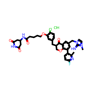 Cc1nc(F)ccc1-c1cc(Cn2ccn(C)c2=N)cc2c1OCC(Cc1ccc(Cl)c(OCCCCC(=O)NC3CC(=O)NC(=O)C3)c1)C2=O.Cl